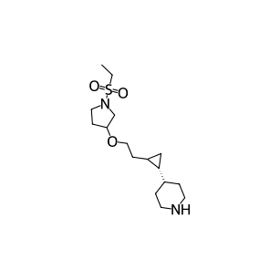 CCS(=O)(=O)N1CCC(OCCC2C[C@@H]2C2CCNCC2)C1